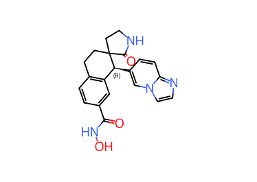 O=C(NO)c1ccc2c(c1)[C@H](c1ccc3nccn3c1)C1(CCNC1=O)CC2